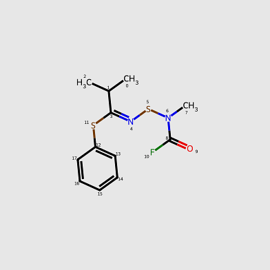 CC(C)C(=NSN(C)C(=O)F)Sc1ccccc1